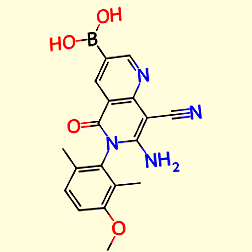 COc1ccc(C)c(-n2c(N)c(C#N)c3ncc(B(O)O)cc3c2=O)c1C